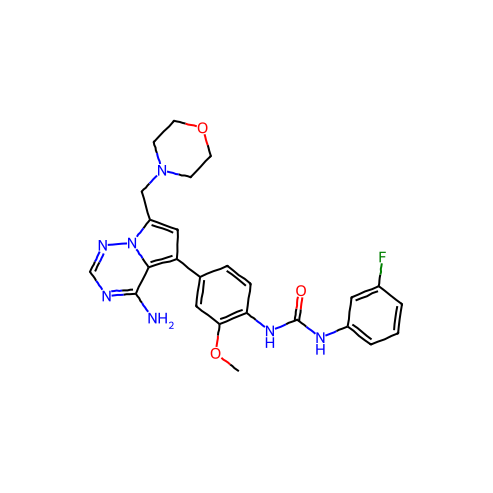 COc1cc(-c2cc(CN3CCOCC3)n3ncnc(N)c23)ccc1NC(=O)Nc1cccc(F)c1